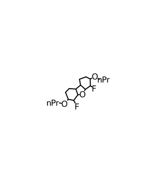 CCCOC1CCC2C3CCC(OCCC)C(F)C3OC2C1F